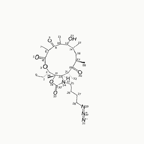 CC[C@@H]1OC(=O)C(C)C(=O)C(C)C(O)C(C)C[C@@H](C)C(=O)[C@H](C)[C@H]2N(CCCCN=[N+]=[N-])C(=O)O[C@]12C